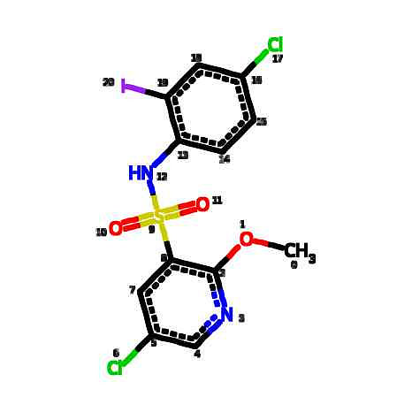 COc1ncc(Cl)cc1S(=O)(=O)Nc1ccc(Cl)cc1I